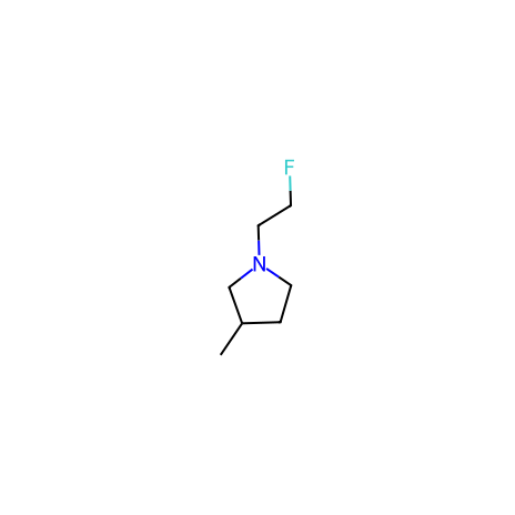 CC1CCN(CCF)C1